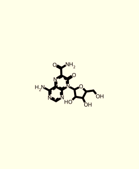 NC(=O)c1nc2c(N)ncnc2n(C2OC(CO)C(O)C2O)c1=O